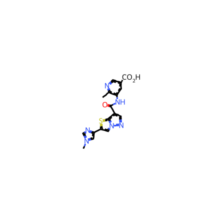 Cc1ncc(C(=O)O)cc1NC(=O)c1cnn2cc(-c3cn(C)cn3)sc12